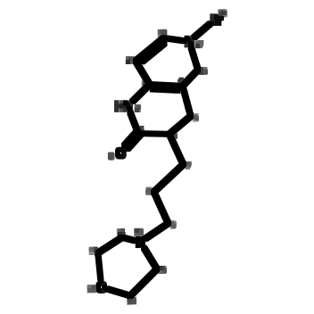 O=C1NC2=C(CC1CCCN1CCOCC1)CN(Br)C=C2